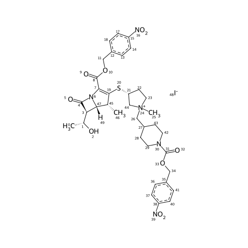 C[C@@H](O)[C@H]1C(=O)N2C(C(=O)OCc3ccc([N+](=O)[O-])cc3)=C(S[C@@H]3CC[N+](C)(CC4CCN(C(=O)OCc5ccc([N+](=O)[O-])cc5)CC4)C3)[C@H](C)[C@H]12.[I-]